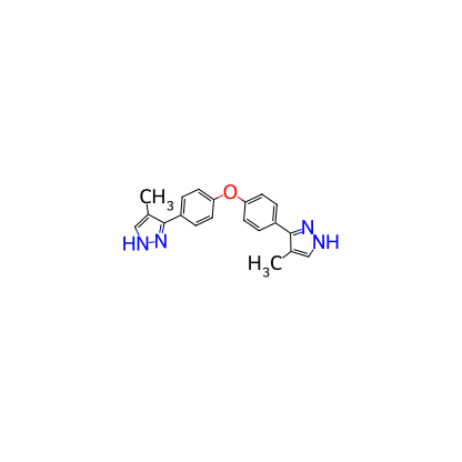 Cc1c[nH]nc1-c1ccc(Oc2ccc(-c3n[nH]cc3C)cc2)cc1